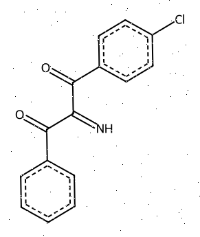 N=C(C(=O)c1ccccc1)C(=O)c1ccc(Cl)cc1